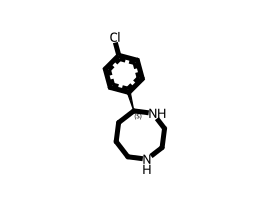 Clc1ccc([C@@H]2CCCNCCN2)cc1